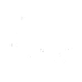 Cc1cc(Br)ccc1C(=O)N1CCS(=O)(=O)CC1